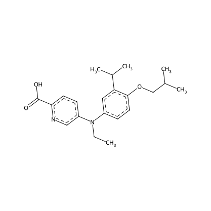 CCN(c1ccc(C(=O)O)nc1)c1ccc(OCC(C)C)c(C(C)C)c1